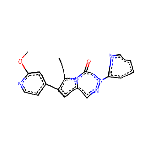 COc1cc(-c2cc3cnn(-c4ccccn4)c(=O)n3c2C)ccn1